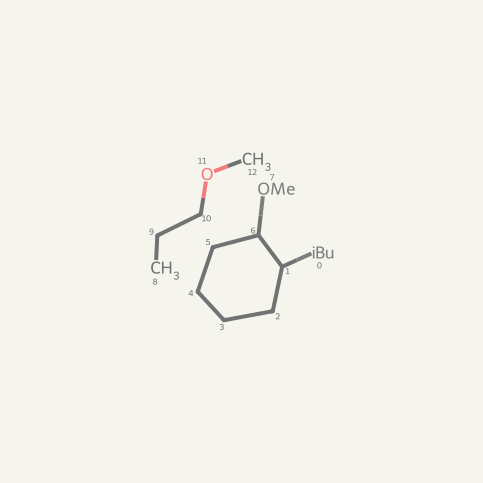 CCC(C)C1CCCCC1OC.CCCOC